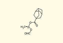 C[C@H](OC=O)OC(=O)C12CC3CC(C1)C(C3)C2